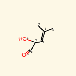 CC(C)=CC(O)C=O